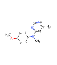 CO[C@H]1CC[C@@H](N(C)c2cc(C)ncn2)CC1